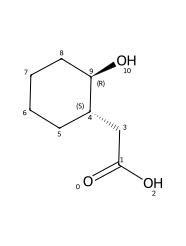 O=C(O)C[C@@H]1CCCC[C@H]1O